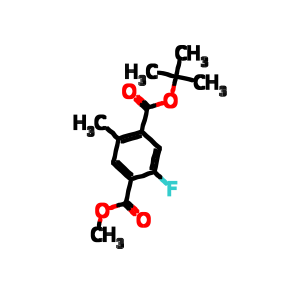 COC(=O)c1cc(C)c(C(=O)OC(C)(C)C)cc1F